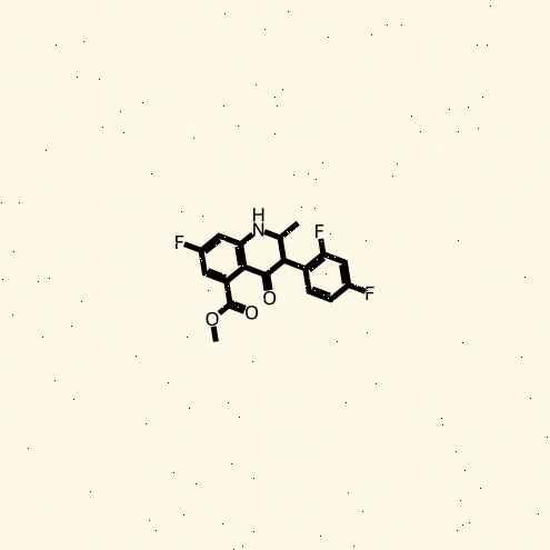 COC(=O)c1cc(F)cc2c1C(=O)C(c1ccc(F)cc1F)C(C)N2